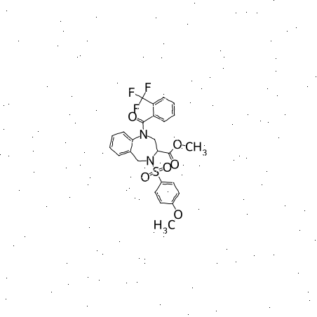 COC(=O)C1CN(C(=O)c2ccccc2C(F)(F)F)c2ccccc2CN1S(=O)(=O)c1ccc(OC)cc1